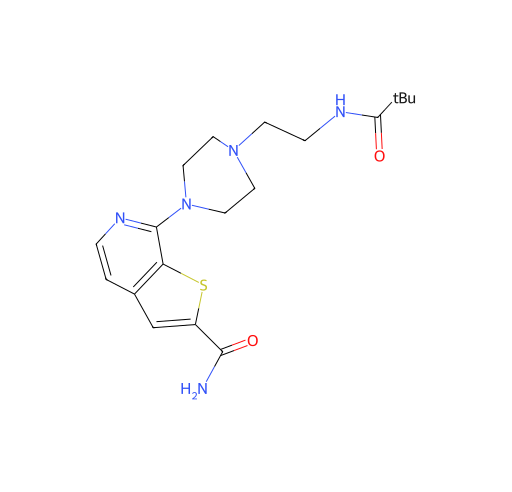 CC(C)(C)C(=O)NCCN1CCN(c2nccc3cc(C(N)=O)sc23)CC1